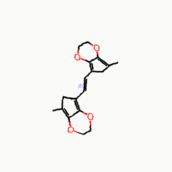 CC1=C2OCCOC2=C(/C=C/C2=C3OCCOC3=C(C)C2)C1